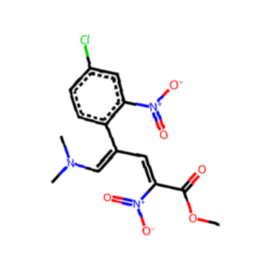 COC(=O)/C(=C/C(=C/N(C)C)c1ccc(Cl)cc1[N+](=O)[O-])[N+](=O)[O-]